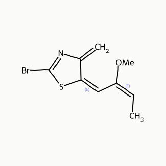 C=c1nc(Br)s/c1=C/C(=C\C)OC